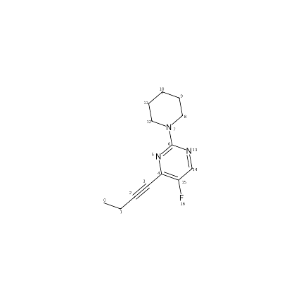 CCC#Cc1nc(N2CC[CH]CC2)ncc1F